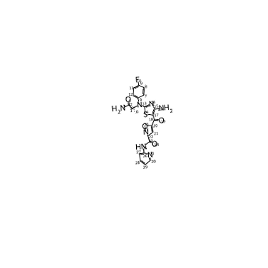 C[C@H](C(N)=O)N(c1ccc(F)cc1)c1nc(N)c(C(=O)c2cc(C(=O)Nc3ccccn3)no2)s1